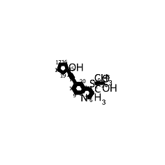 CC(C)(Sc1ccnc2ccc(C#CC3(O)CCCC3)cc12)C(=O)O